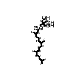 CC(C)=CCCC(C)=CCCC(C)=CCCC(C)=CC(=O)OCC(CO)(CO)CO